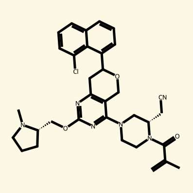 C=C(C)C(=O)N1CCN(c2nc(OC[C@@H]3CCCN3C)nc3c2COC(c2cccc4cccc(Cl)c24)C3)C[C@@H]1CC#N